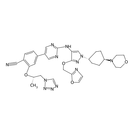 C[C@@H](Cn1cnnn1)Oc1cc(-c2cnc(Nc3cn([C@H]4CC[C@H](N5CCOCC5)CC4)nc3OCc3ncco3)nc2)ccc1C#N